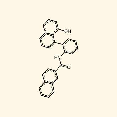 O=C(Nc1ccccc1-c1cccc2cccc(O)c12)c1ccc2ccccc2c1